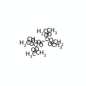 C=C(C)C(=O)Oc1cc(/C=C/C(=O)Oc2cc(OC(=O)C(=C)C)cc(OC(=O)C(=C)C)c2)cc(OC(=O)C(=C)C)c1